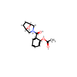 CC(=O)Oc1ccccc1C(=O)N1CC2CCC(C1)O2